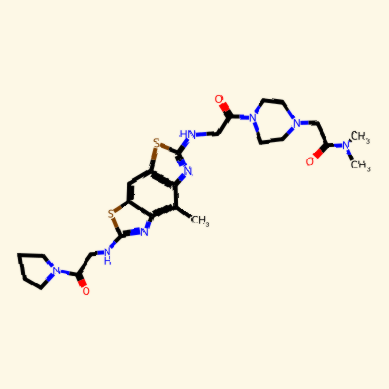 Cc1c2nc(NCC(=O)N3CCCC3)sc2cc2sc(NCC(=O)N3CCN(CC(=O)N(C)C)CC3)nc12